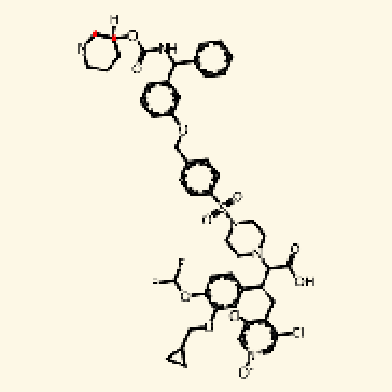 O=C(NC(c1ccccc1)c1cccc(OCc2ccc(S(=O)(=O)N3CCN(C(C(=O)O)[C@@H](Cc4c(Cl)c[n+]([O-])cc4Cl)c4ccc(OC(F)F)c(OCC5CC5)c4)CC3)cc2)c1)O[C@H]1CN2CCC1CC2